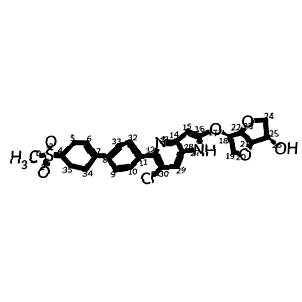 CS(=O)(=O)C1CC=C(c2ccc(-c3nc4cc(O[C@@H]5COC6C5OC[C@H]6O)[nH]c4cc3Cl)cc2)CC1